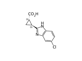 O=C(O)[C@H]1C[C@@H]1c1nc2cc(Cl)ccc2[nH]1